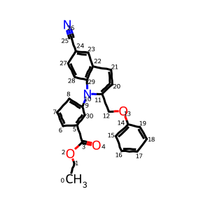 CCOC(=O)c1cccc(N2C(COc3ccccc3)=C=Cc3cc(C#N)ccc32)c1